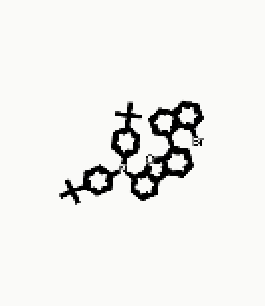 CC(C)(C)c1ccc(N(c2ccc(C(C)(C)C)cc2)c2cccc3c2oc2c(-c4cccc5cccc(Br)c45)cccc23)cc1